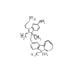 CC1=C(/C=C\CN)c2cc(N)ccc2C1(C)Cc1ccc2c(c1)C1=CC=CCC=C1C2(C)C